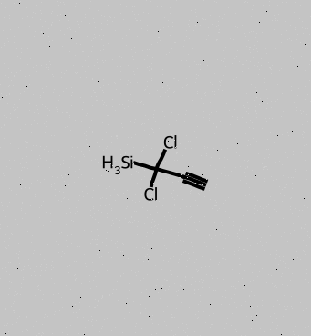 C#CC([SiH3])(Cl)Cl